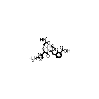 CNC(=O)CON=C(C(=O)NC1Cc2cccc(C(=O)O)c2OB1O)c1csc(N)n1